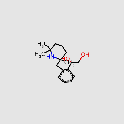 CC1(C)CCCC(C)(Cc2ccccc2C(O)CO)N1